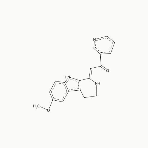 COc1ccc2[nH]c3c(c2c1)CCN/C3=C\C(=O)c1cccnc1